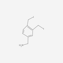 NCc1ccc(CI)c(CI)c1